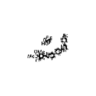 COc1cc(OC)c(-c2cn3ccc(N4CCN(c5nccc(N6CCN(C(C)=O)CC6)n5)CC4)cc3n2)cc1Cl.O=C(O)C(F)(F)F